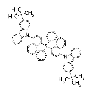 CC(C)(C)c1ccc2c(c1)c1ccccc1n2-c1ccc([Si](c2ccccc2)(c2ccccc2)c2ccc(-n3c4ccccc4c4cc(C(C)(C)C)ccc43)c3ccccc23)c2ccccc12